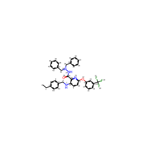 CCc1ccc(CNc2ccc(Oc3cccc(C(F)(F)F)c3)nc2C(=O)NN(Cc2ccccc2)Cc2ccccc2)cc1